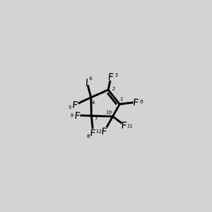 FC1=C(F)C(F)(I)C(F)(F)C1(F)F